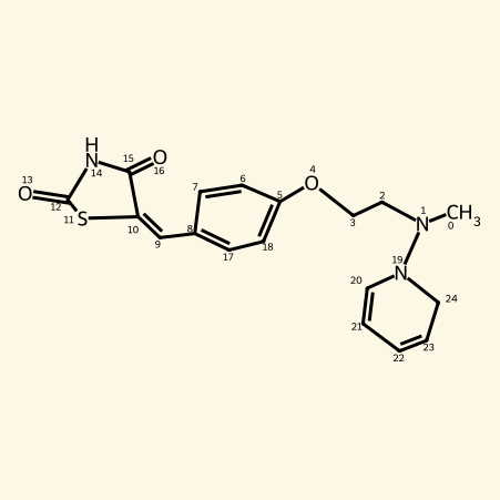 CN(CCOc1ccc(C=C2SC(=O)NC2=O)cc1)N1C=CC=CC1